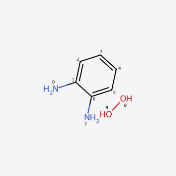 Nc1ccccc1N.OO